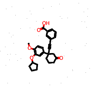 COc1ccc(C2(C#Cc3cccc(C(=O)O)c3)CCCC(=O)C2)cc1OC1CCCC1